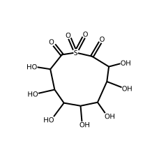 O=C1C(O)C(O)C(O)C(O)C(O)C(O)C(O)C(=O)S1(=O)=O